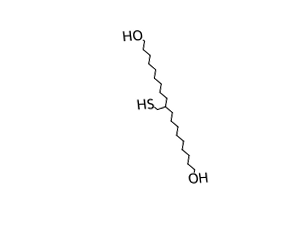 OCCCCCCCCCC(CS)CCCCCCCCCO